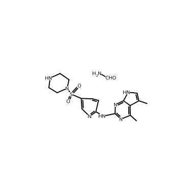 Cc1c[nH]c2nc(Nc3ccc(S(=O)(=O)N4CCNCC4)cn3)nc(C)c12.NC=O